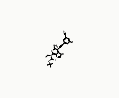 CCN(C(=O)OC(C)(C)C)c1nc(N)c(C#Cc2cc(F)cc(C#N)c2)c2[nH]cnc12